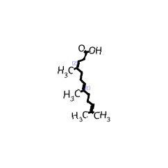 CC(C)=CCC/C(C)=C/CC/C(C)=C\CC(=O)O